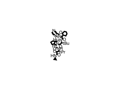 CCC[C@H](NC(=O)[C@@H]1[C@@H]2CCC[C@@H]2CN1C(=O)C(NC(=O)[C@H](NC(=O)c1cnccn1)C1CCCCC1)C(C)(C)C)C(=O)C(=O)NC1CC1